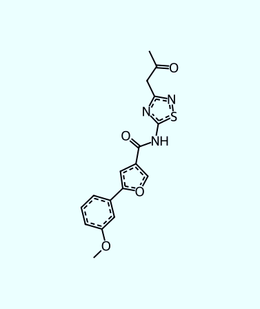 COc1cccc(-c2cc(C(=O)Nc3nc(CC(C)=O)ns3)co2)c1